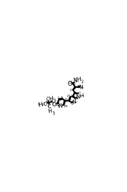 CC(C)(O)COc1ccc(-c2cnc3[nH]cc(/C=C(\C#N)C(N)=O)c3c2)cn1